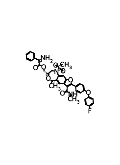 CNC(=O)c1c(-c2ccc(Oc3ccc(F)cc3)cc2)oc2cc3c(cc12)[C@H](C)O[C@H](COC(=O)[C@@H](N)c1ccccc1)CN3S(C)(=O)=O